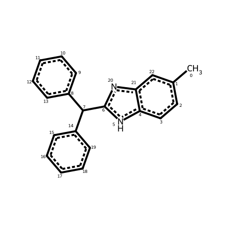 Cc1ccc2[nH]c(C(c3ccccc3)c3ccccc3)nc2c1